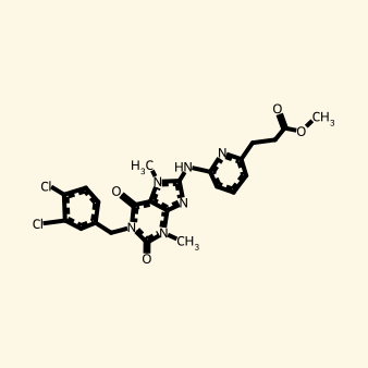 COC(=O)CCc1cccc(Nc2nc3c(c(=O)n(Cc4ccc(Cl)c(Cl)c4)c(=O)n3C)n2C)n1